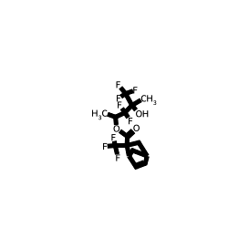 CC(OC(=O)C1(C(F)(F)F)CC2C=CC1C2)C(F)(F)C(C)(O)C(F)(F)F